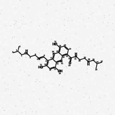 CC(C)CNCCN=Cc1c(O)cc(O)c2nc3c(C(=O)NCCNCC(C)C)ccc(O)c3nc12